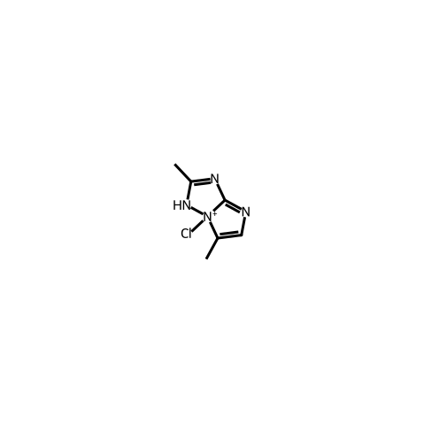 CC1=CN=C2N=C(C)N[N+]12Cl